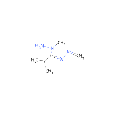 C=N/N=C(/C(C)C)N(C)N